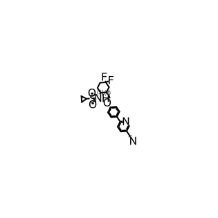 N#Cc1ccc(-c2ccc(OC[C@@H]3CC(F)(F)CC[C@@H]3NS(=O)(=O)C3CC3)cc2)nc1